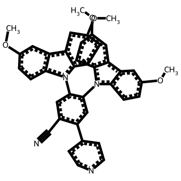 COc1ccc2c(c1)c1cc(OC)ccc1n2-c1cc(C#N)c(-c2ccncc2)cc1-n1c2ccc(OC)cc2c2cc(OC)ccc21